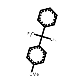 COc1ccc(C(c2ccccc2)(C(F)(F)F)C(F)(F)F)cc1